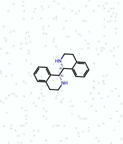 c1ccc2c(c1)CCN[C@H]2[C@@H]1NCCc2ccccc21